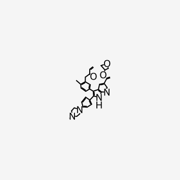 C=CC(=O)Cc1cc(-c2c(-c3ccc(N4CCN(C)CC4)cc3)[nH]c3ncc(C(=C)OC4COC4)cc23)ccc1C